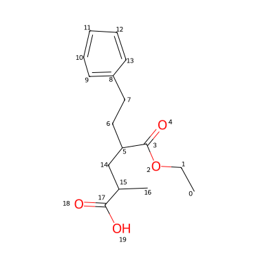 CCOC(=O)C(CCc1ccccc1)CC(C)C(=O)O